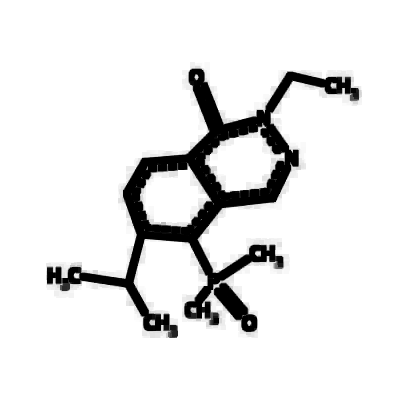 CCn1ncc2c(P(C)(C)=O)c(C(C)C)ccc2c1=O